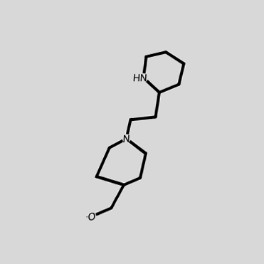 [O]CC1CCN(CCC2CCCCN2)CC1